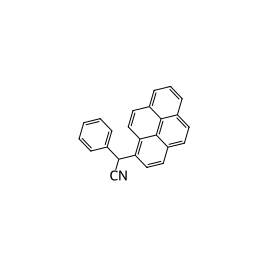 N#CC(c1ccccc1)c1ccc2ccc3cccc4ccc1c2c34